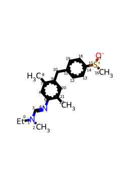 CCN(C)C=Nc1cc(C)c(Cc2ccc([S+](C)[O-])cc2)cc1C